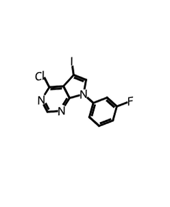 Fc1cccc(-n2cc(I)c3c(Cl)ncnc32)c1